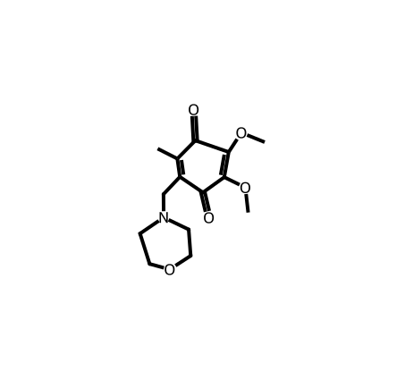 COC1=C(OC)C(=O)C(CN2CCOCC2)=C(C)C1=O